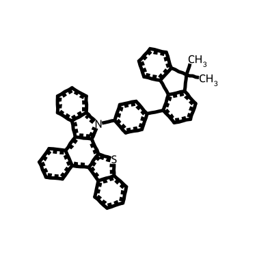 CC1(C)c2ccccc2-c2c(-c3ccc(-n4c5ccccc5c5c6ccccc6c6c7ccccc7sc6c54)cc3)cccc21